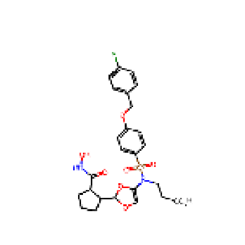 O=C(O)CCN(C1=COC(C2CCCC2C(=O)NO)O1)S(=O)(=O)c1ccc(OCc2ccc(F)cc2)cc1